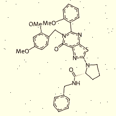 COc1ccc(Cn2c(-c3ccccc3OC)nc3sc(N4CCC[C@@H]4C(=O)NCc4ccccc4)nc3c2=O)c(OC)c1